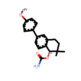 CCCOc1ccc(-c2ccc3c(c2)CCC(C)(C)[C@H]3OC(N)=O)cc1